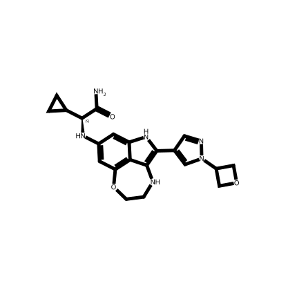 NC(=O)[C@@H](Nc1cc2c3c(c(-c4cnn(C5COC5)c4)[nH]c3c1)NCCO2)C1CC1